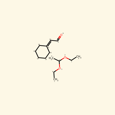 CCOC(C)OCC.O=CC=C1CCCCC1